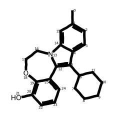 Cc1ccc2c(C3CCCCC3)c3n(c2c1)CCOc1c(O)cccc1-3